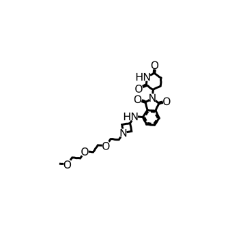 COCCOCCOCCN1CC(Nc2cccc3c2C(=O)N(C2CCC(=O)NC2=O)C3=O)C1